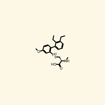 CCc1cccc(-c2ccc(OC)cc2F)c1CC.CN[C@H](CS)C(=O)O